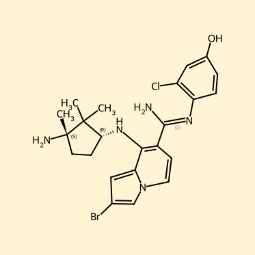 CC1(C)[C@H](Nc2c(/C(N)=N/c3ccc(O)cc3Cl)ccn3cc(Br)cc23)CC[C@]1(C)N